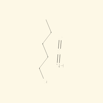 CCCCC[Si].N=C=O